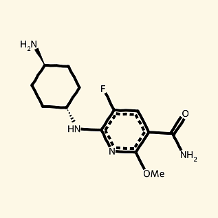 COc1nc(N[C@H]2CC[C@H](N)CC2)c(F)cc1C(N)=O